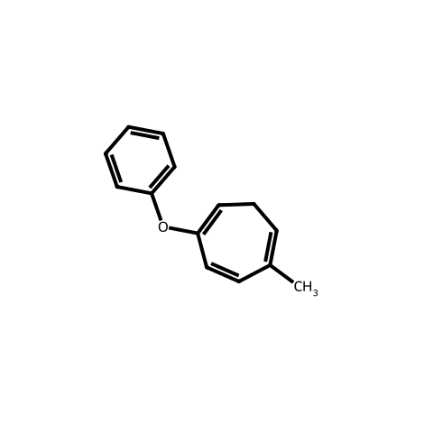 CC1=CCC=C(Oc2ccccc2)C=C1